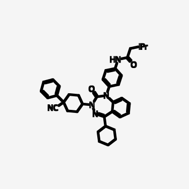 CC(C)CC(=O)Nc1ccc(N2C(=O)N(C3CCC(C#N)(c4ccccc4)CC3)N=C(C3CCCCC3)c3ccccc32)cc1